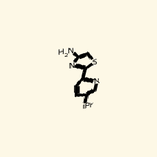 CC(C)c1ccc(-c2nc(N)cs2)nc1